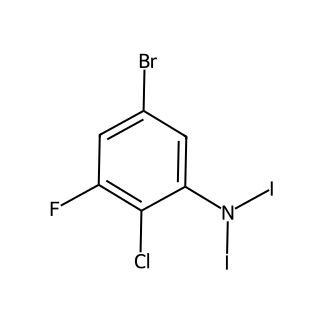 Fc1cc(Br)cc(N(I)I)c1Cl